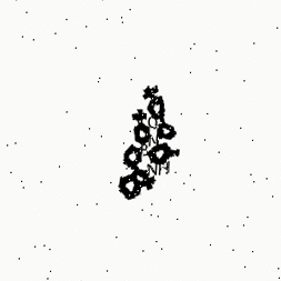 Cc1cc2c3c(c1)N(c1cccc4c1oc1cc(C(C)(C)C)ccc14)c1cc(C(C)(C)C)ccc1B3c1cccc(c1)C1=C(N2)C(C)(C)c2ccccc21